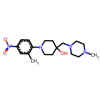 Cc1cc([N+](=O)[O-])ccc1N1CCC(O)(CN2CCN(C)CC2)CC1